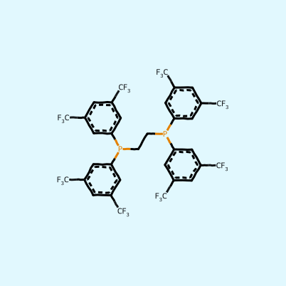 FC(F)(F)c1cc(P(CCP(c2cc(C(F)(F)F)cc(C(F)(F)F)c2)c2cc(C(F)(F)F)cc(C(F)(F)F)c2)c2cc(C(F)(F)F)cc(C(F)(F)F)c2)cc(C(F)(F)F)c1